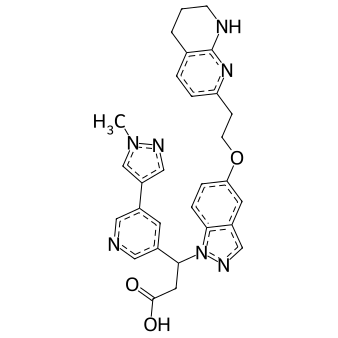 Cn1cc(-c2cncc(C(CC(=O)O)n3ncc4cc(OCCc5ccc6c(n5)NCCC6)ccc43)c2)cn1